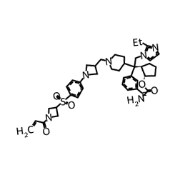 C=CC(=O)N1CC(S(=O)(=O)c2ccc(N3CC(CN4CCC(C(Cn5ccnc5CC)(c5cccc(F)c5)[C@H]5CCC[C@@H]5OC(N)=O)CC4)C3)cc2)C1